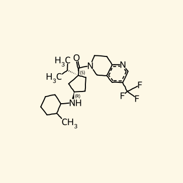 CC1CCCCC1N[C@@H]1CC[C@@](C(=O)N2CCc3ncc(C(F)(F)F)cc3C2)(C(C)C)C1